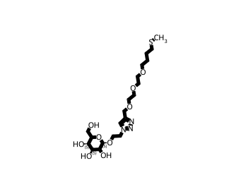 CSCCCCOCCOCCOCc1cn(CCO[C@H]2OC(CO)[C@@H](O)[C@H](O)C2O)nn1